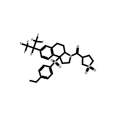 CCc1ccc(S(=O)(=O)C23CCN(C(=O)C4CCS(=O)(=O)C4)C2CCc2cc(C(F)(C(F)(F)F)C(F)(F)F)ccc23)cc1